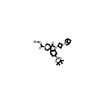 CC(C)(C)OC(=O)N1CCC2(CC1)C(=O)N([C@H]1C[C@@H](N3CC4CC(C4)C3)C1)c1cc(B3OC(C)(C)C(C)(C)O3)ccc12